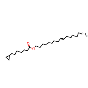 CCCCCCC=CCCCCCCCCOC(=O)CCCCCCC1CC1